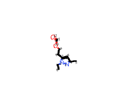 CCn1nc(C)cc1CCOC=O